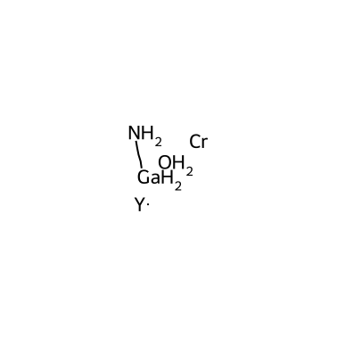 O.[Cr].[NH2][GaH2].[Y]